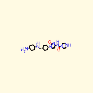 N[C@H]1CC[C@@H](NC[C@H]2CC[C@H](n3ccc(NC(=O)N4CCNCC4)nc3=O)CC2)CC1